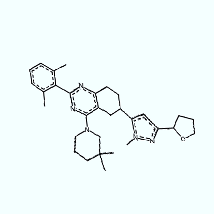 Cc1cccc(C)c1-c1nc2c(c(N3CCCC(C)(C)C3)n1)CC(c1cc(C3CCCO3)nn1C)CC2